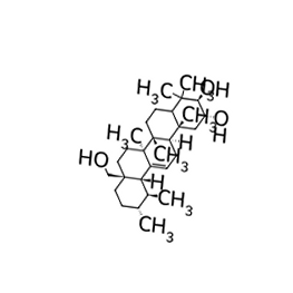 C[C@H]1[C@H](C)CC[C@]2(CO)CC[C@]3(C)C(=CC[C@@H]4[C@@]5(C)C[C@@H](O)[C@H](O)C(C)(C)C5CC[C@]43C)[C@H]12